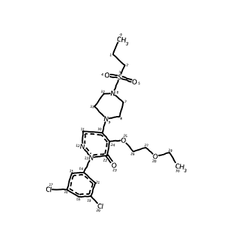 CCCS(=O)(=O)N1CCN(c2cnn(-c3cc(Cl)cc(Cl)c3)c(=O)c2OCCOCC)CC1